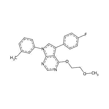 COCCOc1ncnc2c1c(-c1ccc(F)cc1)cn2-c1cccc(C)c1